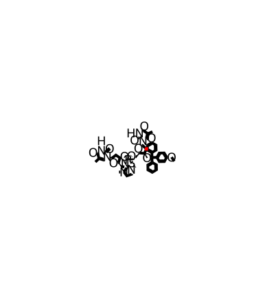 CC[C@H]1O[C@@H](n2cc(C)c(=O)[nH]c2=O)C[C@H]1OP(=S)(N=C1N(C)CCN1C)OC[C@H]1O[C@@H](n2cc(C)c(=O)[nH]c2=O)C[C@H]1OC(c1ccccc1)(c1ccc(OC)cc1)c1ccc(OC)cc1